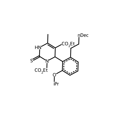 CCCCCCCCCCCCc1cccc(OC(C)C)c1C1C(C(=O)OCC)=C(C)NC(=S)N1C(=O)OCC